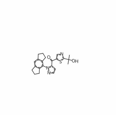 CC(C)(O)c1ncc(C(=O)c2ccnn2-c2c3c(cc4c2CCC4)CCC3)s1